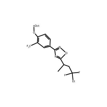 CCCCCCCCOc1ccc(-c2noc(C(C)CC(F)(F)CC)n2)cc1C(F)(F)F